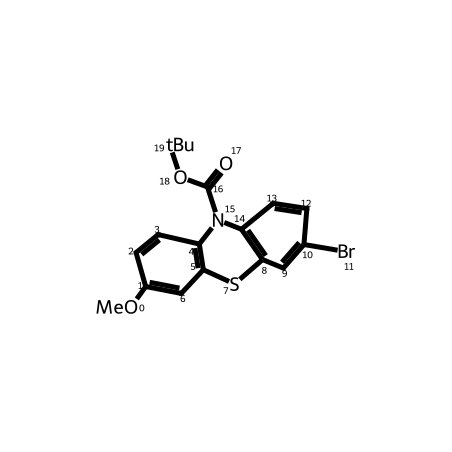 COc1ccc2c(c1)Sc1cc(Br)ccc1N2C(=O)OC(C)(C)C